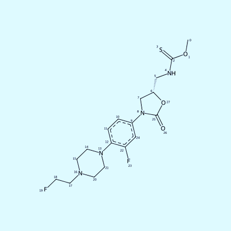 COC(=S)NC[C@H]1CN(c2ccc(N3CCN(CCF)CC3)c(F)c2)C(=O)O1